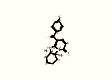 O=C(c1ccc(Cl)cc1)c1ccc(=O)n2c1N[C@@H]1CCCC[C@H]12